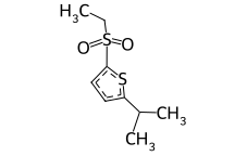 CCS(=O)(=O)c1ccc(C(C)C)s1